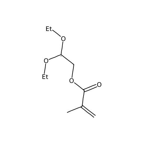 C=C(C)C(=O)OC[C](OCC)OCC